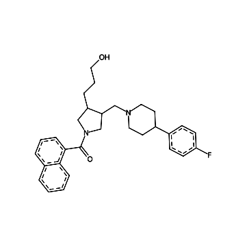 O=C(c1cccc2ccccc12)N1CC(CCCO)C(CN2CCC(c3ccc(F)cc3)CC2)C1